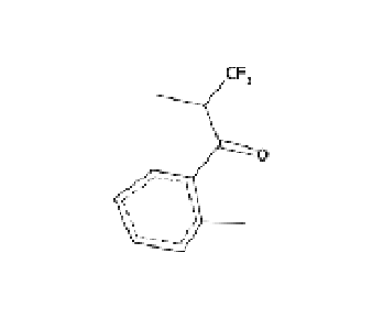 Cc1ccccc1C(=O)C(C)C(F)(F)F